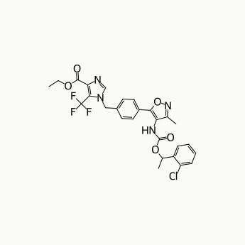 CCOC(=O)c1ncn(Cc2ccc(-c3onc(C)c3NC(=O)OC(C)c3ccccc3Cl)cc2)c1C(F)(F)F